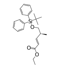 CCOC(=O)/C=C/[C@H](C)CO[Si](c1ccccc1)(c1ccccc1)C(C)(C)C